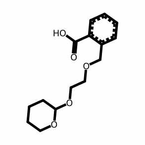 O=C(O)c1ccccc1COCCOC1CCCCO1